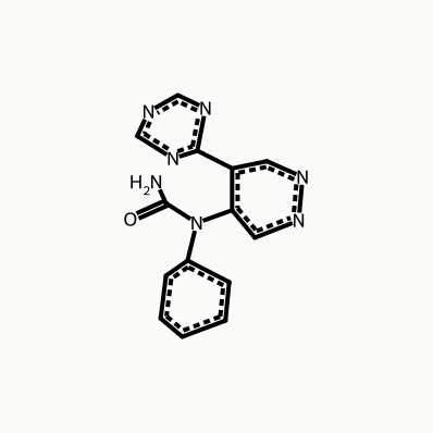 NC(=O)N(c1ccccc1)c1cnncc1-c1ncncn1